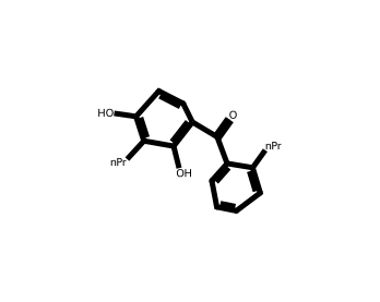 CCCc1ccccc1C(=O)c1ccc(O)c(CCC)c1O